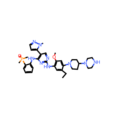 CCc1cc(Nc2ncc(-c3ccnn3C)c(Nc3ccccc3P(C)(C)=O)n2)c(OC)cc1N1CCC(N2CCNCC2)CC1